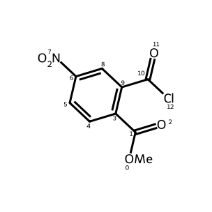 COC(=O)c1ccc([N+](=O)[O-])cc1C(=O)Cl